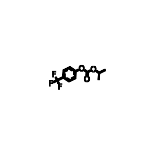 CC(C)OC(=O)Oc1ccc(C(F)(F)F)cc1